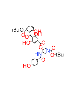 CC(C)COC(=O)c1cccc(O)c1C(=O)c1c(O)cc(C(=O)O[C@H]2CN(C(=O)OC(C)(C)C)C[C@@H]2NC(=O)c2ccc(O)cc2)cc1O